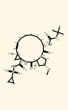 CO[C@@H]1C[C@H]2C(=O)N[C@]3(C(=O)NS(=O)(=O)C4CC4)C[C@H]3/C=C\CCCCC[C@H](NC(=O)OC(C)(C)C)C(=O)N2C1